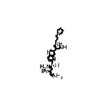 CC(C)C(=C/N)/C=C(\N)Nc1ccc2ncc(/C(C=N)=C/NCCCN3CCCC3)cc2n1